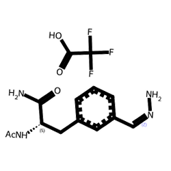 CC(=O)N[C@@H](Cc1cccc(/C=N\N)c1)C(N)=O.O=C(O)C(F)(F)F